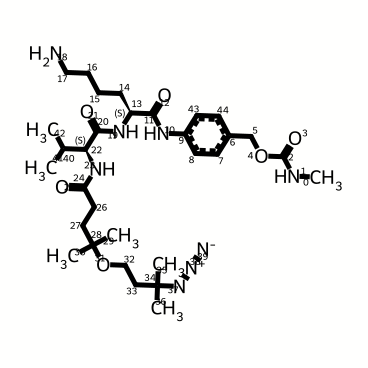 CNC(=O)OCc1ccc(NC(=O)[C@H](CCCCN)NC(=O)[C@@H](NC(=O)CCC(C)(C)OCCC(C)(C)N=[N+]=[N-])C(C)C)cc1